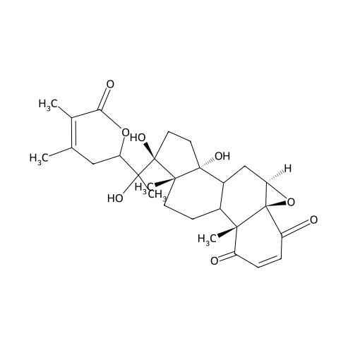 CC1=C(C)C(=O)OC(C(C)(O)[C@]2(O)CC[C@@]3(O)C4C[C@H]5O[C@]56C(=O)C=CC(=O)[C@]6(C)C4CC[C@@]32C)C1